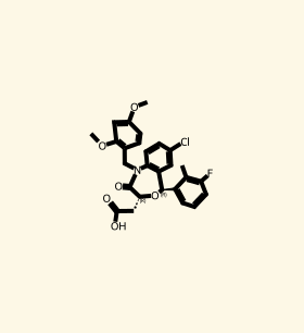 COc1ccc(CN2C(=O)[C@@H](CC(=O)O)O[C@H](c3cccc(F)c3C)c3cc(Cl)ccc32)c(OC)c1